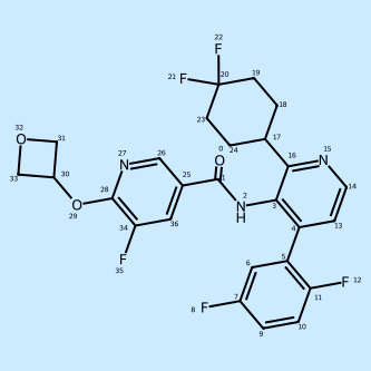 O=C(Nc1c(-c2cc(F)ccc2F)ccnc1C1CCC(F)(F)CC1)c1cnc(OC2COC2)c(F)c1